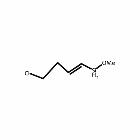 CO[SiH2]C=CCCCl